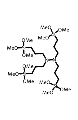 CO[Si](CCCN(CCC[Si](OC)(OC)OC)N(CCC[Si](OC)(OC)OC)CCC[Si](OC)(OC)OC)(OC)OC